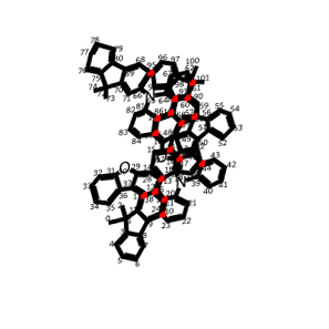 CC1(C)c2ccccc2-c2ccc(-c3ccccc3N(c3ccccc3-c3ccc4oc5ccccc5c4c3)c3ccccc3-c3cccc4c3-c3ccccc3C4(C)Cc3cccc(N(c4ccc5c(c4)C(C)(C)c4ccccc4-5)c4ccccc4-c4cccc5c4-c4ccccc4C5(C)C)c3-c3ccc4oc5ccccc5c4c3)cc21